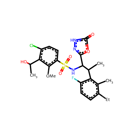 CCc1ccc(F)c(C(C)C(NS(=O)(=O)c2ccc(Cl)c(C(C)O)c2OC)c2n[nH]c(=O)o2)c1C